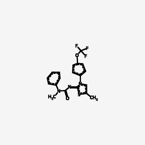 Cc1cn(-c2ccc(OC(F)(F)F)cc2)/c(=N/C(=O)N(C)c2ccccc2)s1